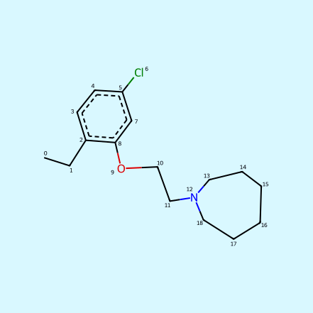 CCc1ccc(Cl)cc1OCCN1CCCCCC1